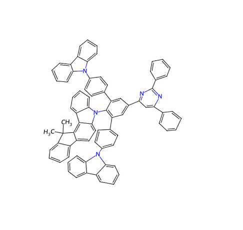 CC1(C)c2ccccc2-c2ccc3c(c21)c1ccccc1n3-c1c(-c2ccc(-n3c4ccccc4c4ccccc43)cc2)cc(-c2cc(-c3ccccc3)nc(-c3ccccc3)n2)cc1-c1ccc(-n2c3ccccc3c3ccccc32)cc1